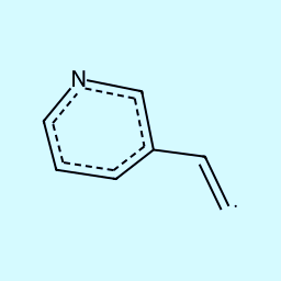 [CH]=Cc1cccnc1